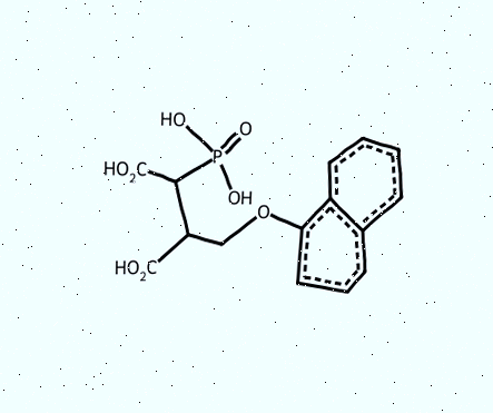 O=C(O)C(COc1cccc2ccccc12)C(C(=O)O)P(=O)(O)O